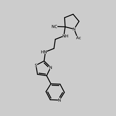 CC(=O)N1CCCC1(C#N)NCCNc1nc(-c2ccncc2)cs1